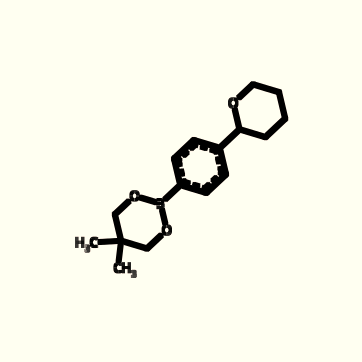 CC1(C)COB(c2ccc(C3CCCCO3)cc2)OC1